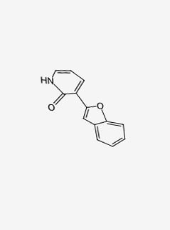 O=c1[nH]cccc1-c1cc2ccccc2o1